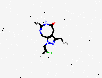 CCc1nn(/C=C(/C)Cl)c2c1CC(=O)N/C(C)=N\C2